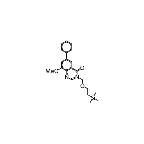 COc1cc(-c2ccccc2)cc2c(=O)n(COCC[Si](C)(C)C)cnc12